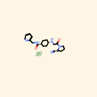 Cl.Cl.N#C[C@@H]1CCCN1C(=O)CN[C@H]1CC[C@H](C(=O)NCc2ccccn2)CC1